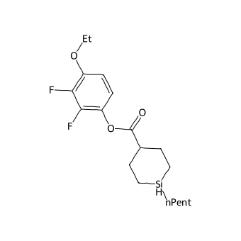 CCCCC[SiH]1CCC(C(=O)Oc2ccc(OCC)c(F)c2F)CC1